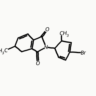 CC1C=CC2=C(C1)C(=O)N(C1C=CC(Br)=CC1C)C2=O